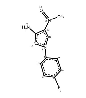 Nc1nn(-c2ccc(F)cc2)cc1[N+](=O)[O-]